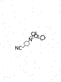 N#CC[C@H]1CC[C@H](N2CC(OCc3ccccc3)(C(F)(F)F)C2)CC1